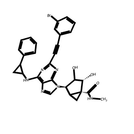 CNC(=O)[C@]12CC1[C@@H](n1cnc3c(NC4CC4c4ccccc4)nc(C#Cc4cccc(Br)c4)nc31)C(O)[C@@H]2O